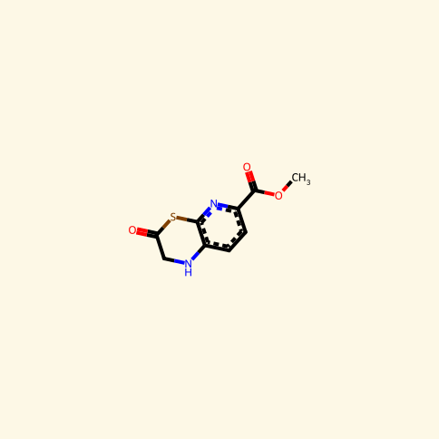 COC(=O)c1ccc2c(n1)SC(=O)CN2